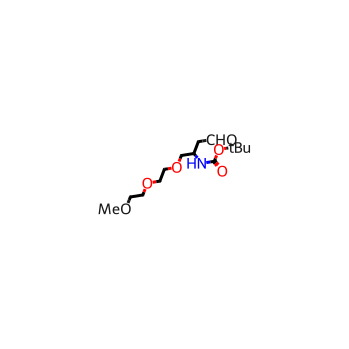 COCCOCCOCC(CC=O)NC(=O)OC(C)(C)C